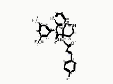 O=C(/C=C/c1ccc(F)cc1)NC1(C(=O)N(c2cc(C(F)(F)F)cc(C(F)(F)F)c2)c2ncccn2)CCNCC1